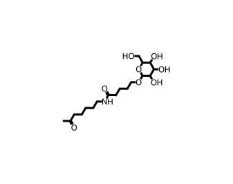 CC(=O)CCCCCNC(=O)CCCCOC1OC(CO)C(O)C(O)C1O